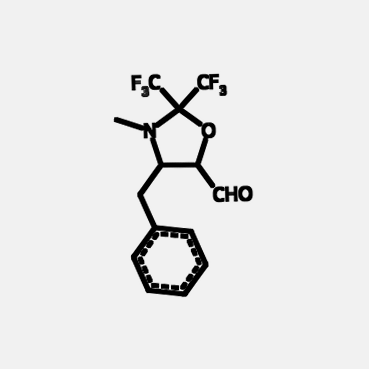 CN1C(Cc2ccccc2)C(C=O)OC1(C(F)(F)F)C(F)(F)F